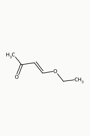 CCOC=CC(C)=O